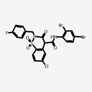 O=C(Nc1ccc(Br)cc1Br)C1C(=O)N(Cc2ccc(F)cc2)S(=O)(=O)c2ccc(Cl)cc21